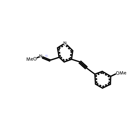 CO/N=C/c1cncc(C#Cc2cccc(OC)c2)c1